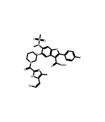 CC/C=C\c1[nH]c(C(=O)N2CCC[C@@H](c3cc4c(C(=O)NC)c(-c5ccc(F)cc5)oc4cc3N(C)S(C)(=O)=O)C2)nc1C